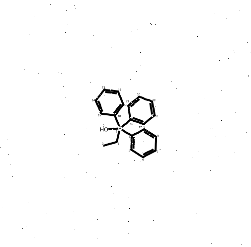 CCP(O)(c1ccccc1)(c1ccccc1)c1ccccc1